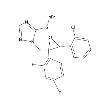 CCCSc1ncnn1C[C@]1(c2ccc(F)cc2F)O[C@@H]1c1ccccc1Cl